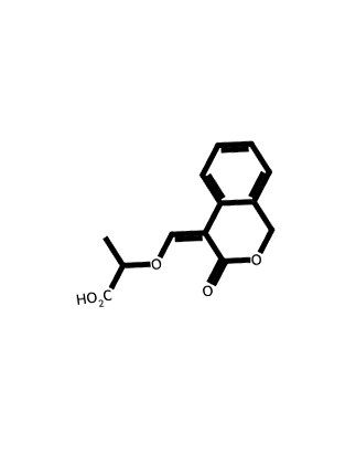 CC(OC=C1C(=O)OCc2ccccc21)C(=O)O